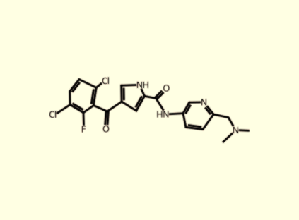 CN(C)Cc1ccc(NC(=O)c2cc(C(=O)c3c(Cl)ccc(Cl)c3F)c[nH]2)cn1